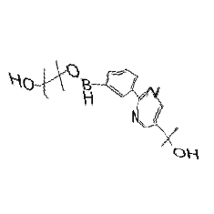 CC(C)(O)c1cnc(-c2cccc(BOC(C)(C)C(C)(C)O)c2)nc1